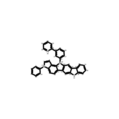 c1ccc(-n2ccc3c2ccc2c4cc5sc6ccccc6c5cc4n(-c4cccc(-c5ccccn5)c4)c23)cc1